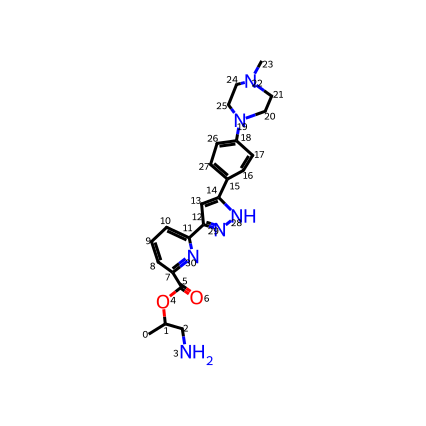 CC(CN)OC(=O)c1cccc(-c2cc(-c3ccc(N4CCN(C)CC4)cc3)[nH]n2)n1